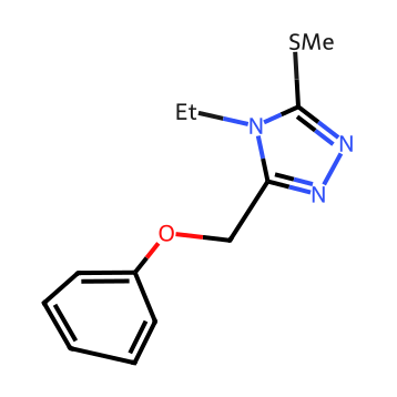 CCn1c(COc2ccccc2)nnc1SC